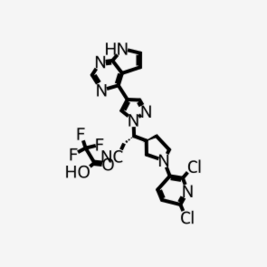 N#CC[C@@H]([C@H]1CCN(c2ccc(Cl)nc2Cl)C1)n1cc(-c2ncnc3[nH]ccc23)cn1.O=C(O)C(F)(F)F